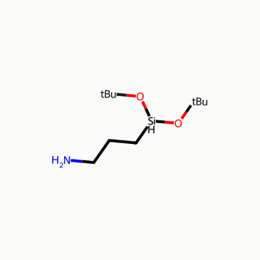 CC(C)(C)O[SiH](CCCN)OC(C)(C)C